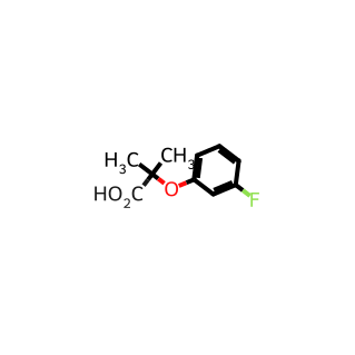 CC(C)(Oc1cccc(F)c1)C(=O)O